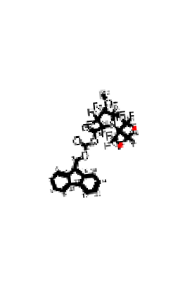 O=C(OCC1c2ccccc2-c2ccccc21)OC(=O)[C@@]1(F)N(C(C(F)(F)F)(C(F)(F)F)C(F)(F)F)C(F)(F)[C@](F)(OF)C1(F)F